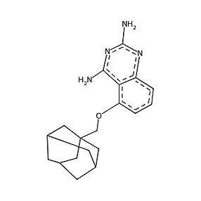 Nc1nc(N)c2c(OCC34CC5CC(CC(C5)C3)C4)cccc2n1